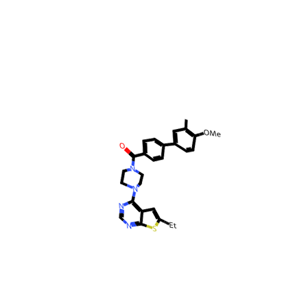 CCc1cc2c(N3CCN(C(=O)c4ccc(-c5ccc(OC)c(C)c5)cc4)CC3)ncnc2s1